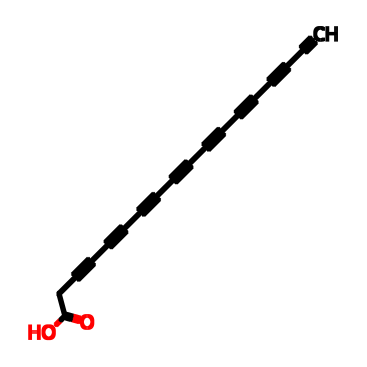 C#CC#CC#CC#CC#CC#CC#CC#CCC(=O)O